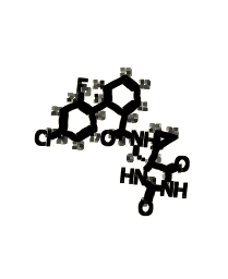 O=C1NC(=O)[C@](CNC(=O)c2ccccc2-c2ccc(Cl)cc2F)(C2CC2)N1